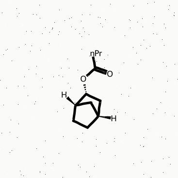 CCCC(=O)O[C@@H]1C[C@@H]2CC[C@H]1C2